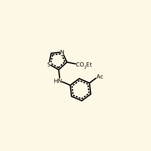 CCOC(=O)c1ncsc1Nc1cccc(C(C)=O)c1